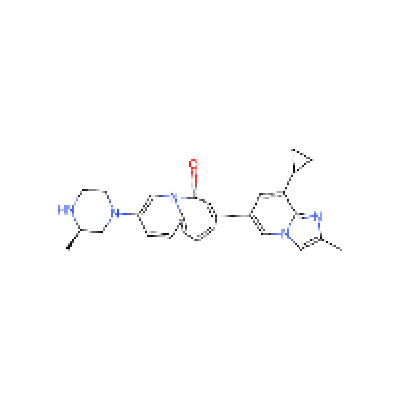 Cc1cn2cc(C3=C\C(=O)N4C=C(N5CCN[C@H](C)C5)C=C\C4=C/C=C/3)cc(C3CC3)c2n1